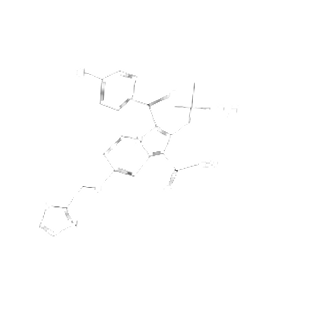 CC(C)(C)C(=O)c1c(CC(C)(C)C(=O)O)c(C(=O)c2ccc(Cl)cc2)n2ccc(OCc3nccs3)cc12